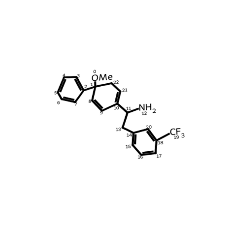 COC1(c2ccccc2)C=CC(C(N)Cc2cccc(C(F)(F)F)c2)=CC1